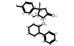 Cc1ccc([C@]2(C)CC(=O)[C@H](OC3CCCCC3c3ccccc3)[C@H]2C)cc1